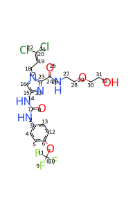 O=C(Nc1ccc(OC(F)(F)F)cc1)Nc1cn(CC=C(Cl)Cl)c(C(=O)NCCOCCO)n1